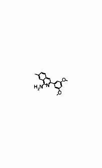 COc1cc(OC)cc(-c2cc3ccc(C)cc3c(N)n2)c1